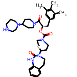 Cc1cc(C[C@@H](OC(=O)N2CCC(N3CCc4ccccc4NC3=O)CC2)C(=O)N2CCC(N3CCCNCC3)CC2)cc(C)c1C